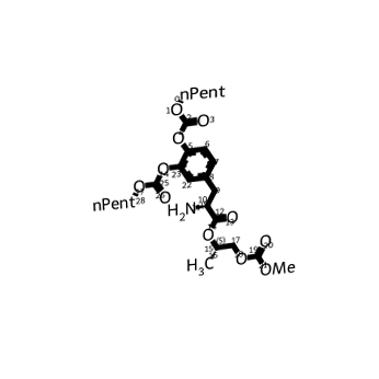 CCCCCOC(=O)Oc1ccc(C[C@H](N)C(=O)O[C@@H](C)COC(=O)OC)cc1OC(=O)OCCCCC